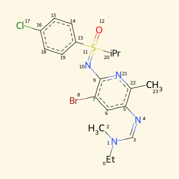 CCN(C)/C=N\c1cc(Br)c(N=S(=O)(c2ccc(Cl)cc2)C(C)C)nc1C